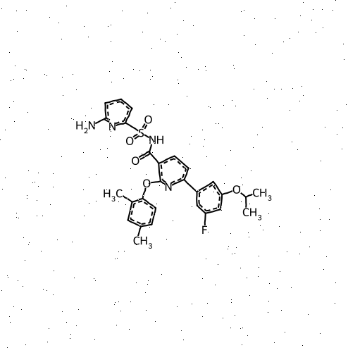 Cc1ccc(Oc2nc(-c3cc(F)cc(OC(C)C)c3)ccc2C(=O)NS(=O)(=O)c2cccc(N)n2)c(C)c1